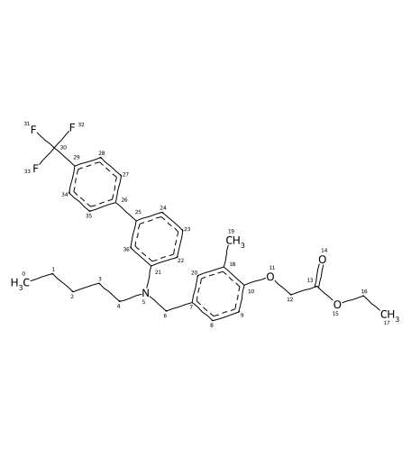 CCCCCN(Cc1ccc(OCC(=O)OCC)c(C)c1)c1cccc(-c2ccc(C(F)(F)F)cc2)c1